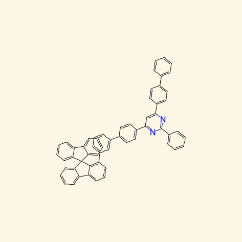 c1ccc(-c2ccc(-c3cc(-c4ccc(-c5cccc(-c6cccc7c6C6(c8ccccc8-c8ccccc86)c6ccccc6-7)c5)cc4)nc(-c4ccccc4)n3)cc2)cc1